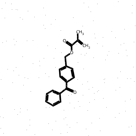 C=C(C)C(=O)OCc1ccc(C(=O)c2ccccc2)cc1